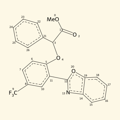 COC(=O)C(Oc1ccc(C(F)(F)F)cc1-c1nc2ccccc2o1)c1ccccc1